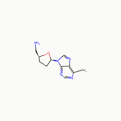 Cc1ncnc2c1ncn2[C@H]1CC[C@@H](CN)O1